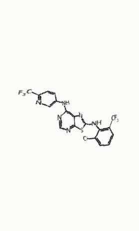 FC(F)(F)c1ccc(Nc2ncnc3sc(Nc4c(Cl)cccc4C(F)(F)F)nc23)cn1